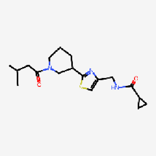 CC(C)CC(=O)N1CCCC(c2nc(CNC(=O)C3CC3)cs2)C1